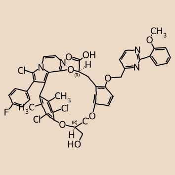 COc1ccccc1-c1nccc(COc2ccc3cc2C[C@H](C(=O)O)Oc2nccn4c(Cl)c(-c5ccc(F)cc5)c(c24)-c2c(C)c(Cl)c(c(Cl)c2C)O[C@H](CO)CO3)n1